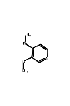 CNc1ccncc1OC